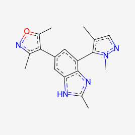 Cc1nc2c(-c3c(C)cnn3C)cc(-c3c(C)noc3C)cc2[nH]1